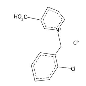 O=C(O)c1ccc[n+](Cc2ccccc2Cl)c1.[Cl-]